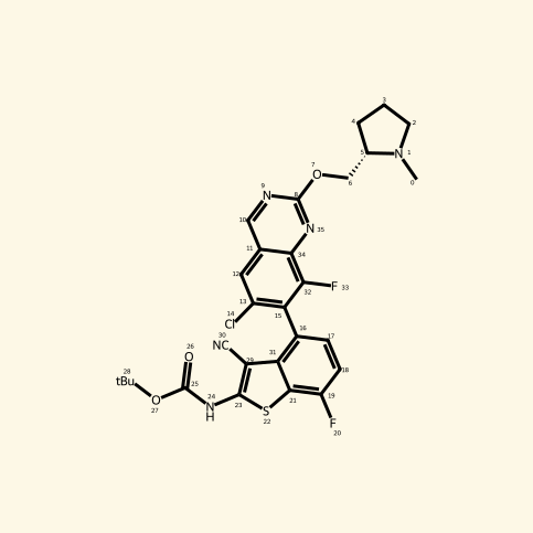 CN1CCC[C@H]1COc1ncc2cc(Cl)c(-c3ccc(F)c4sc(NC(=O)OC(C)(C)C)c(C#N)c34)c(F)c2n1